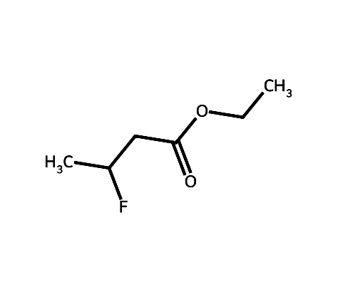 CCOC(=O)CC(C)F